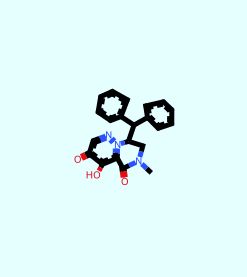 CN1CC(C(c2ccccc2)c2ccccc2)n2ncc(=O)c(O)c2C1=O